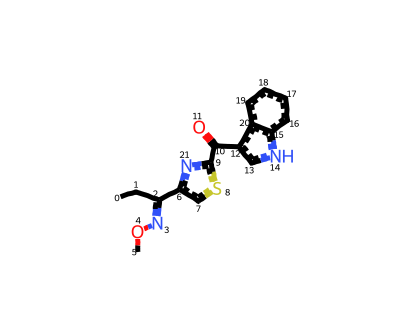 CC/C(=N\OC)c1csc(C(=O)c2c[nH]c3ccccc23)n1